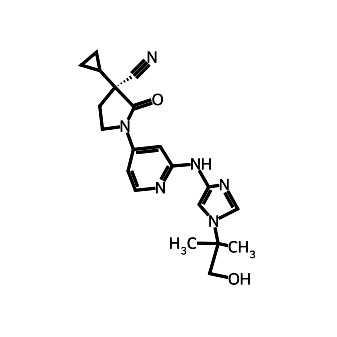 CC(C)(CO)n1cnc(Nc2cc(N3CC[C@@](C#N)(C4CC4)C3=O)ccn2)c1